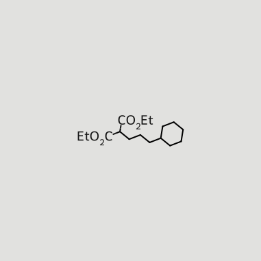 CCOC(=O)C(CCCC1CCCCC1)C(=O)OCC